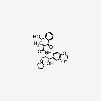 C=C(C(=O)NC(CN1CCCC1)C(O)c1ccc2c(c1)OCCO2)C(=O)c1ccccc1CO